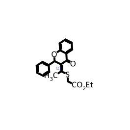 CCOC(=O)CS/C(C)=C1\C(=O)c2ccccc2OC1c1ccccc1